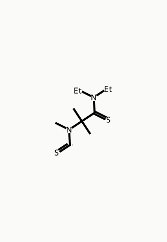 CCN(CC)C(=S)C(C)(C)N(C)[C]=S